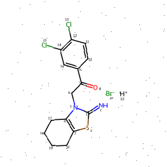 N=c1sc2c(n1CC(=O)c1ccc(Cl)c(Cl)c1)CCCC2.[Br-].[H+]